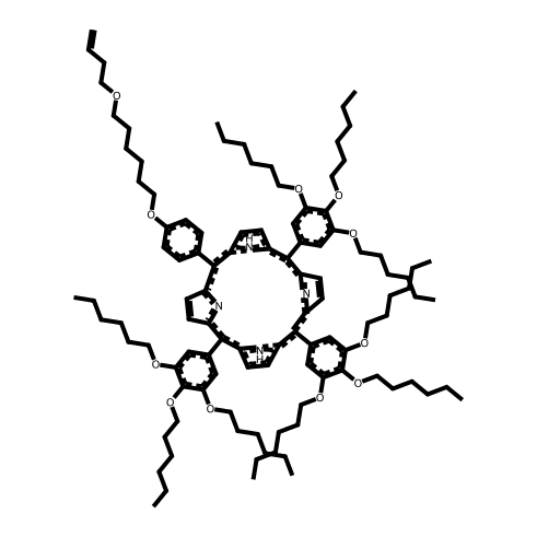 C=CCCOCCCCCCOc1ccc(-c2c3nc(c(-c4cc(OCCCCCC)c(OCCCCCC)c(OCCCCCC)c4)c4ccc([nH]4)c(-c4cc(OCCCCCC)c(OCCCCCC)c(OCCCCCC)c4)c4nc(c(-c5cc(OCCCCCC)c(OCCCCCC)c(OCCCCCC)c5)c5ccc2[nH]5)C=C4)C=C3)cc1